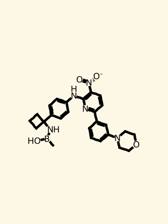 CB(O)NC1(c2ccc(Nc3nc(-c4cccc(N5CCOCC5)c4)ccc3[N+](=O)[O-])cc2)CCC1